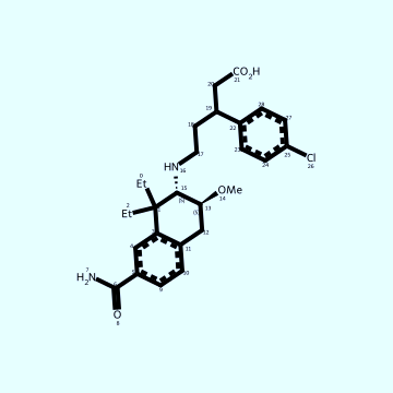 CCC1(CC)c2cc(C(N)=O)ccc2C[C@H](OC)[C@H]1NCCC(CC(=O)O)c1ccc(Cl)cc1